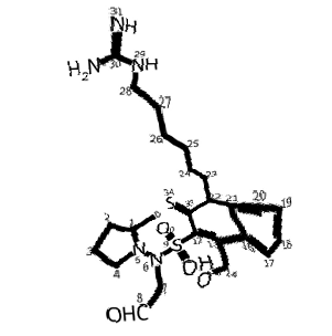 CC1CCCN1N(CC=O)S(=O)(=O)C1=C(CO)c2ccccc2C(CCCCCCNC(=N)N)C1=S